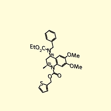 CCOC(=O)N(Cc1ccccc1)[C@@H]1C[C@H](C)N(C(=O)OCc2cccs2)c2cc(OC)c(OC)cc21